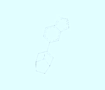 CN1C2C=C(c3ccc4occc4c3)CC1CC2